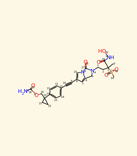 CC(CCN1Cc2cc(C#Cc3ccc(C4(COC(N)=O)CC4)cc3)cn2C1=O)(C(=O)NO)S(C)(=O)=O